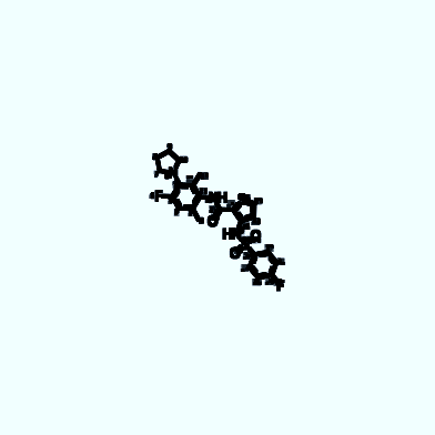 Cc1cc(F)c(N2CCCC2)c(C)c1NC(=O)c1sccc1NS(=O)(=O)c1ccc(F)cc1